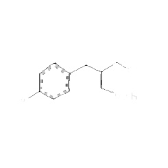 CCC(C)c1ccc(CC(CC(=O)O)CC(=O)O)cc1